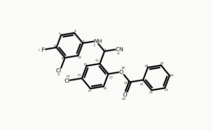 N#CC(Nc1ccc(F)c(Cl)c1)c1cc(Cl)ccc1OC(=O)c1ccccc1